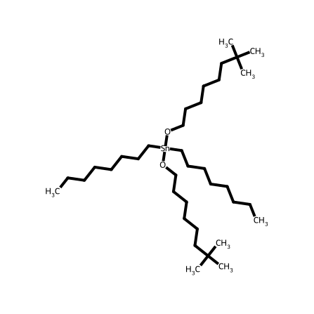 CCCCCCC[CH2][Sn]([CH2]CCCCCCC)([O]CCCCCCC(C)(C)C)[O]CCCCCCC(C)(C)C